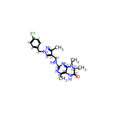 Cc1nn(Cc2ccc(F)cc2)cc1CNc1nc(C)c2c(n1)N(C)[C@@H](C)C(=O)N2